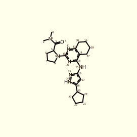 CN(C)C(=O)C1CCCN1c1nc2c(c(Nc3cc(C4CCCC4)[nH]n3)n1)CCCC2